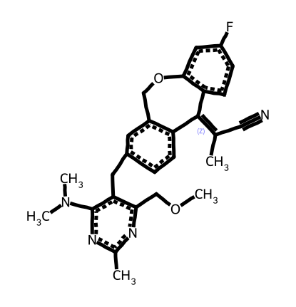 COCc1nc(C)nc(N(C)C)c1Cc1ccc2c(c1)COc1cc(F)ccc1/C2=C(/C)C#N